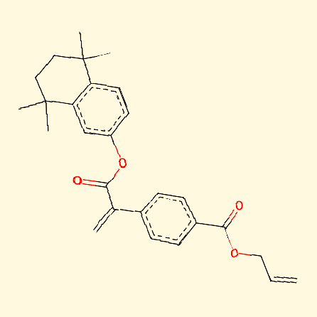 C=CCOC(=O)c1ccc(C(=C)C(=O)Oc2ccc3c(c2)C(C)(C)CCC3(C)C)cc1